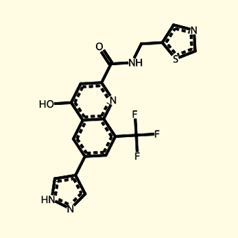 O=C(NCc1cncs1)c1cc(O)c2cc(-c3cn[nH]c3)cc(C(F)(F)F)c2n1